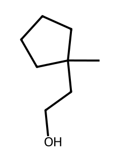 CC1(CCO)CCCC1